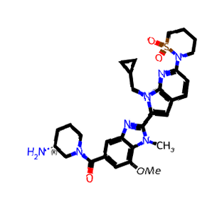 COc1cc(C(=O)N2CCC[C@@H](N)C2)cc2nc(-c3cc4ccc(N5CCCCS5(=O)=O)nc4n3CC3CC3)n(C)c12